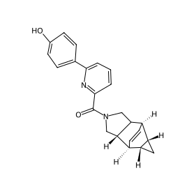 O=C(c1cccc(-c2ccc(O)cc2)n1)N1CC2[C@@H](C1)[C@H]1C=C[C@@H]2[C@@H]2C[C@H]12